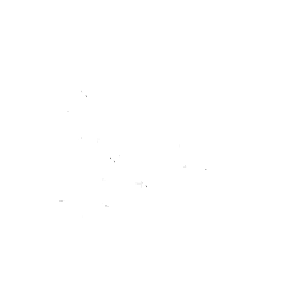 c1csc(-c2ccc(N(c3ccncc3)c3cccs3)nc2)c1